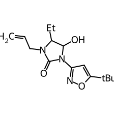 C=CCN1C(=O)N(c2cc(C(C)(C)C)on2)C(O)C1CC